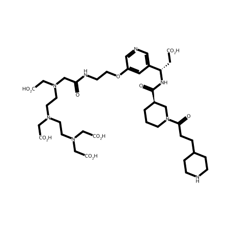 O=C(O)C[C@H](NC(=O)[C@@H]1CCCN(C(=O)CCC2CCNCC2)C1)c1cncc(OCCNC(=O)CN(CCN(CCN(CC(=O)O)CC(=O)O)CC(=O)O)CC(=O)O)c1